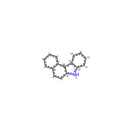 c1ccc2c(c1)ccc1[nH]c3ccccc3c12